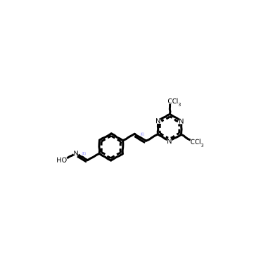 O/N=C/c1ccc(/C=C/c2nc(C(Cl)(Cl)Cl)nc(C(Cl)(Cl)Cl)n2)cc1